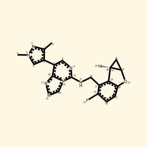 Cc1nn(C)cc1-c1cnc(NCc2c(F)ccc3c2[C@H]2CC2O3)n2cnnc12